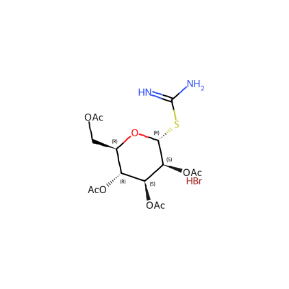 Br.CC(=O)OC[C@H]1O[C@H](SC(=N)N)[C@@H](OC(C)=O)[C@@H](OC(C)=O)[C@@H]1OC(C)=O